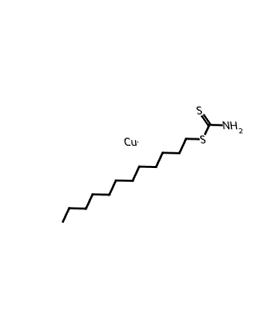 CCCCCCCCCCCCSC(N)=S.[Cu]